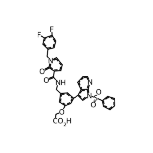 O=C(O)COc1cc(CNC(=O)c2cccn(Cc3ccc(F)c(F)c3)c2=O)cc(-c2cn(S(=O)(=O)c3ccccc3)c3ncccc23)c1